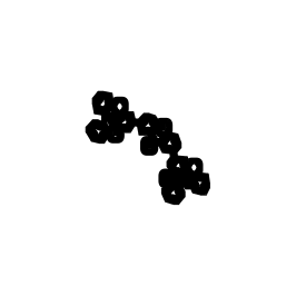 O=c1c2cc(-c3cc4c5c(c3)Oc3ccccc3N5c3ccccc3O4)ccc2oc2ccc(-c3cc4c5c(c3)Oc3ccccc3N5c3ccccc3O4)cc12